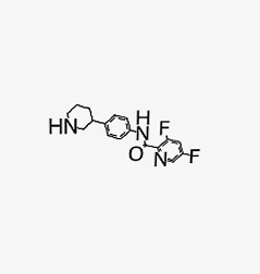 O=C(Nc1ccc(C2CCCNC2)cc1)c1ncc(F)cc1F